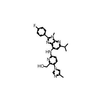 Cc1cn(-c2ccc(Nc3cc(C(C)C)nc4c3nc(-c3ccc(F)cc3)n4C)nc2CO)cn1